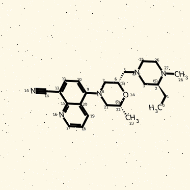 CC[C@H]1CN(C[C@H]2CN(c3ccc(C#N)c4ncccc34)C[C@@H](C)O2)CCN1C